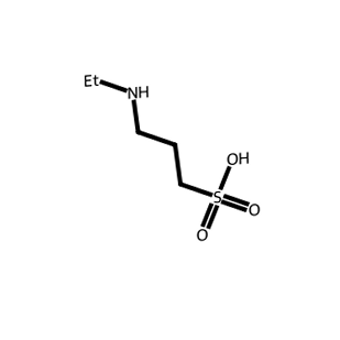 CCNCCCS(=O)(=O)O